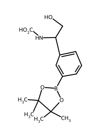 CC1(C)OB(c2cccc(C(CO)NC(=O)O)c2)OC1(C)C